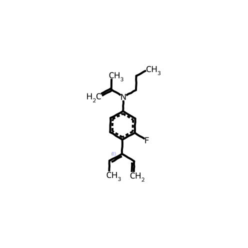 C=C/C(=C\C)c1ccc(N(CCC)C(=C)C)cc1F